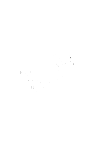 O=C(O)Nc1cc(CCc2cccc(Nc3nc(Cl)ncc3F)c2)ccn1